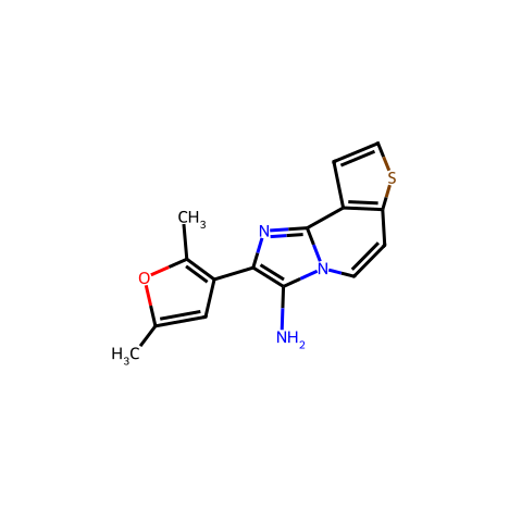 Cc1cc(-c2nc3c4ccsc4ccn3c2N)c(C)o1